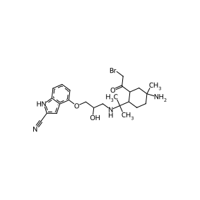 CC1(N)CCC(C(C)(C)NCC(O)COc2cccc3[nH]c(C#N)cc23)C(C(=O)CBr)C1